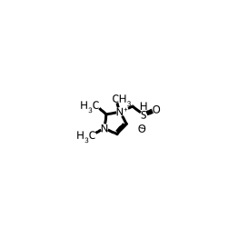 CC1N(C)C=C[N+]1(C)C[SH](=O)=O